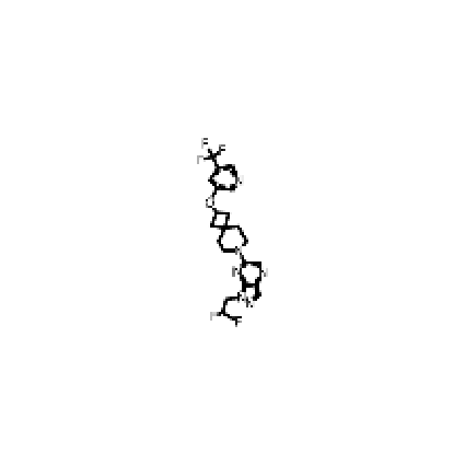 FC(F)Cn1ncc2ncc(N3CCC4(CC3)CC(Oc3cncc(C(F)(F)F)c3)C4)nc21